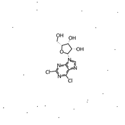 OC[C@H]1O[C@@H](n2cnc3c(Cl)nc(Cl)nc32)[C@@H](O)[C@H]1O